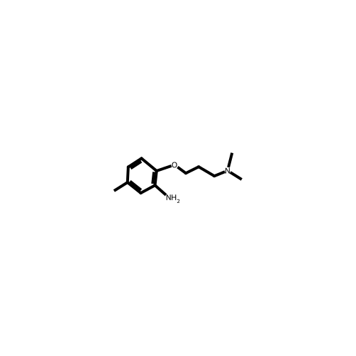 Cc1ccc(OCCCN(C)C)c(N)c1